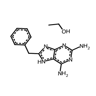 CCO.Nc1nc(N)c2[nH]c(Cc3ccccc3)nc2n1